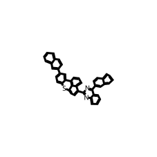 c1ccc2cc(-c3ccc4c(c3)-c3cccc5c(-c6nc(-c7ccc8ccccc8c7)c7ccccc7n6)ccc(c35)S4)ccc2c1